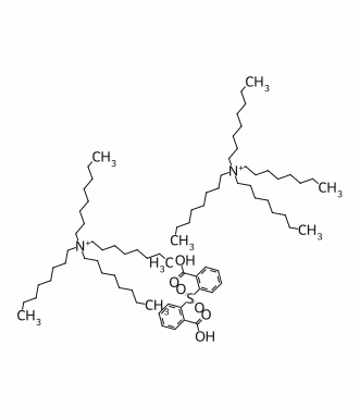 CCCCCCCC[N+](CCCCCCCC)(CCCCCCCC)CCCCCCCC.CCCCCCCC[N+](CCCCCCCC)(CCCCCCCC)CCCCCCCC.O=C(O)c1ccccc1S(=O)(=O)c1ccccc1C(=O)O